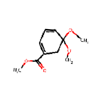 COC(=O)C1=CC=CC(OC)(OC)C1